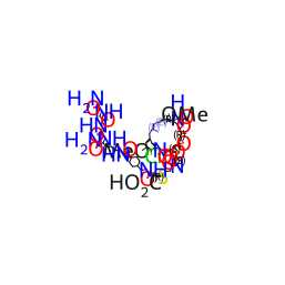 COc1cc2cc(c1Cl)N(C)C(=O)C[C@H](OC(=O)[C@H](C)N(C)C(=O)CCS[C@H](CC(=O)NCC1CCC(C(=O)NCCCCC(NC(=O)CNC(=O)CNC(=O)CN)C(N)=O)CC1)C(=O)O)C1(C)OC1[C@H](C)C1CC(NC(=O)O1)[C@H](OC)/C=C/C=C(\C)C2